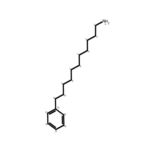 NCCCCCCCCCCCc1[c]cccc1